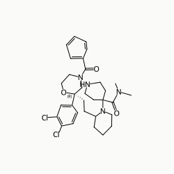 CN(C)C(=O)C1(N2CCCCC2CC[C@@]2(c3ccc(Cl)c(Cl)c3)CN(C(=O)c3ccccc3)CCO2)CCNCC1